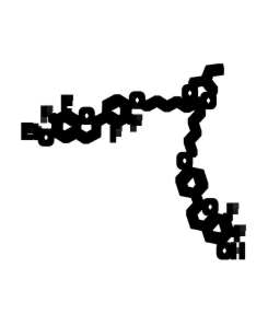 C=CC1COC(CCCCCOC2=CCC(C3CCc4cc(O)c(F)c(F)c4O3)C=C2)(CCCCCOc2ccc(C3CCc4cc(OCC)c(F)c(F)c4O3)c(F)c2F)OC1